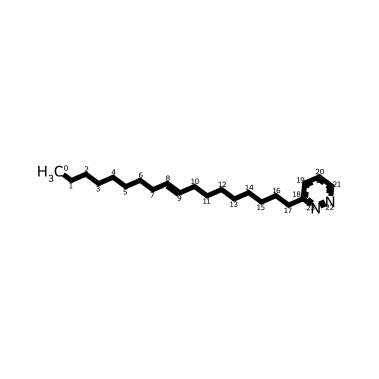 CCCCCCCCC=CCCCCCCCCc1cccnn1